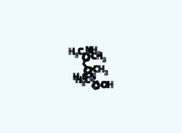 C/C(=N\c1c(C)cc(Cc2cc(C)c(N)c(C)c2)cc1C)c1cccc(O)c1